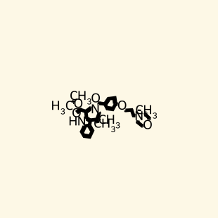 CC(C)OC(=O)C1=CN(C(=O)c2ccc(OCCC[N+]3(C)CCOCC3)cc2)CC(C)(C)c2c1[nH]c1ccccc21